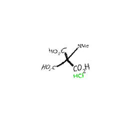 CNC(C(=O)O)(C(=O)O)C(=O)O.Cl